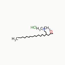 CCCCCCCCCCCCCCCC(CCN(C)C)CC1CO1.Cl